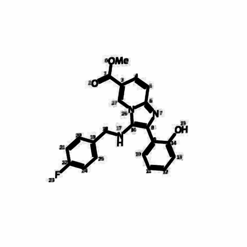 COC(=O)c1ccc2nc(-c3ccccc3O)c(NCc3ccc(F)cc3)n2c1